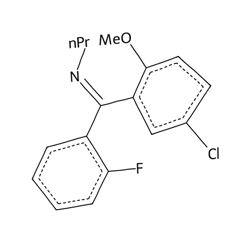 CCCN=C(c1ccccc1F)c1cc(Cl)ccc1OC